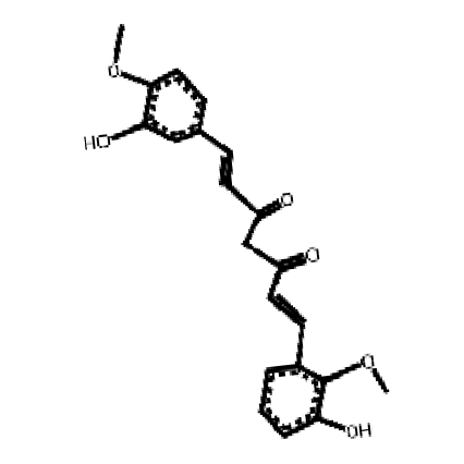 COc1ccc(C=CC(=O)CC(=O)C=Cc2cccc(O)c2OC)cc1O